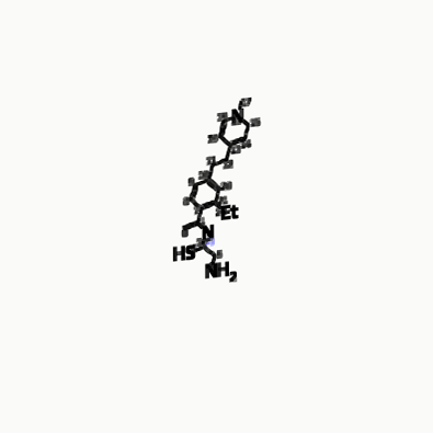 C=C(/N=C(\S)CN)c1ccc(CCC2=CCN(C)C=C2)cc1CC